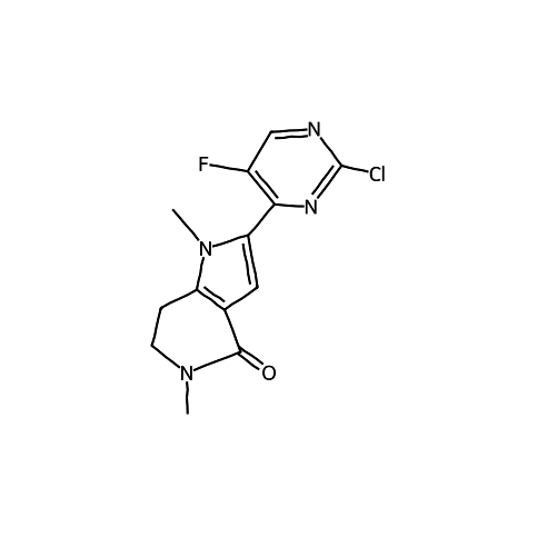 CN1CCc2c(cc(-c3nc(Cl)ncc3F)n2C)C1=O